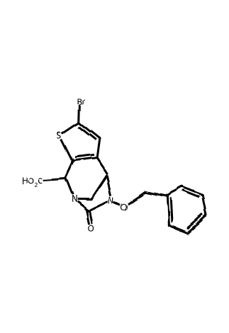 O=C(O)C1c2sc(Br)cc2C2CN1C(=O)N2OCc1ccccc1